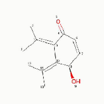 CC(C)=C1C(=O)C=C[C@@H](O)C1=C(C)C